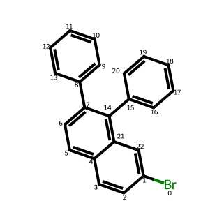 Brc1ccc2ccc(-c3ccccc3)c(-c3ccccc3)c2c1